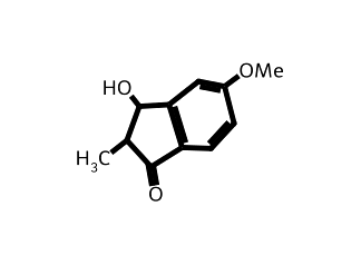 COc1ccc2c(c1)C(O)C(C)C2=O